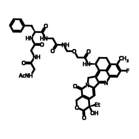 CC[C@@]1(O)C(=O)OCc2c1cc1n(c2=O)Cc2c-1nc1cc(F)c(C)c3c1c2[C@@H](NC(=O)COCNC(=O)CNC(=O)[C@H](Cc1ccccc1)NC(=O)CNC(=O)CNC(C)=O)CC3